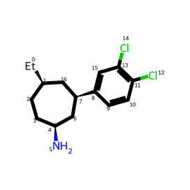 CC[C@@H]1CC[C@H](N)C[C@H](c2ccc(Cl)c(Cl)c2)C1